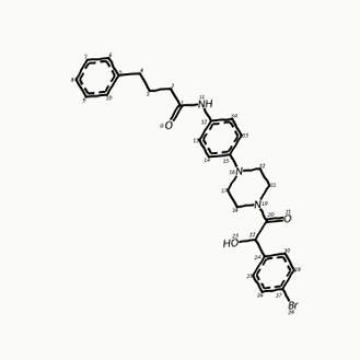 O=C(CCCc1ccccc1)Nc1ccc(N2CCN(C(=O)C(O)c3ccc(Br)cc3)CC2)cc1